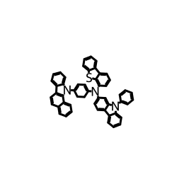 C1=C(N(c2ccc3c4ccccc4n(-c4ccccc4)c3c2)c2cccc3c2sc2ccccc23)CCC(n2c3ccccc3c3ccc4ccccc4c32)=C1